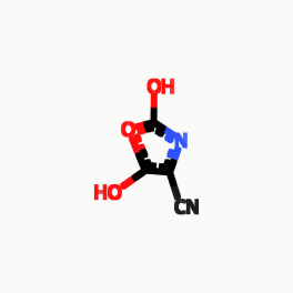 N#Cc1nc(O)oc1O